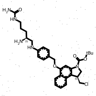 CC(C)(C)OC(=O)N1C[C@@H](CCl)c2c1cc(OCc1ccc(NC[C@@H](N)CCCNC(N)=O)cc1)c1ccccc21